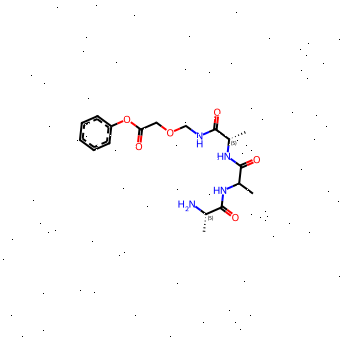 CC(NC(=O)[C@H](C)N)C(=O)N[C@@H](C)C(=O)NCOCC(=O)Oc1ccccc1